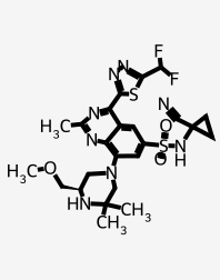 COC[C@H]1CN(c2cc(S(=O)(=O)NC3(C#N)CC3)cc3c(-c4nnc(C(F)F)s4)nc(C)nc23)CC(C)(C)N1